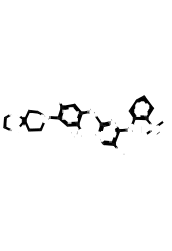 CCc1cc(Nc2ncc(Br)c(Nc3ccccc3P(C)(C)=O)n2)c(OC)cc1N1CCC2(CC1)OCCO2